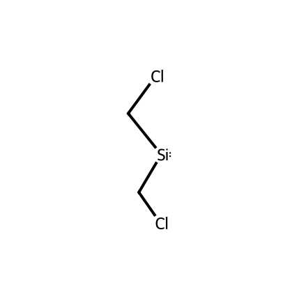 ClC[Si]CCl